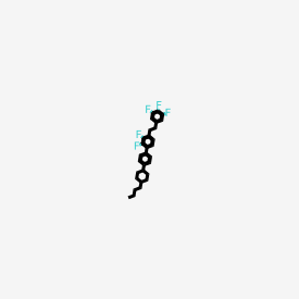 CCCCC1CCC(c2ccc(-c3ccc(CCc4cc(F)c(F)c(F)c4)c(F)c3F)cc2)CC1